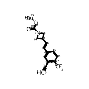 C#Cc1cc(/C=C/C2CN(C(=O)OC(C)(C)C)C2)ccc1C(F)(F)F